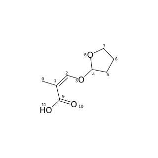 CC(=COC1CCCO1)C(=O)O